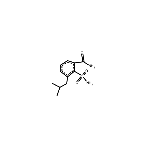 CC(C)Cc1cccc(C(N)=O)c1S(N)(=O)=O